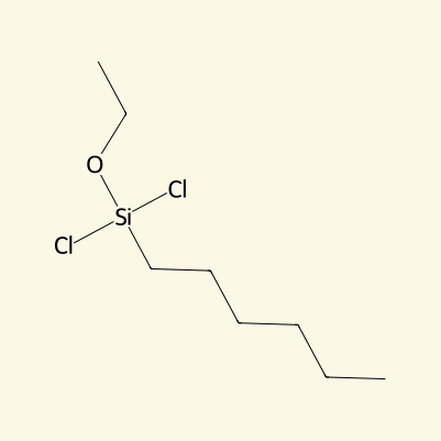 CCCCCC[Si](Cl)(Cl)OCC